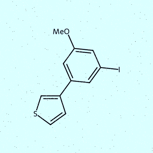 COc1cc(I)cc(-c2ccsc2)c1